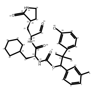 Cc1cccc(C(OC(=O)N[C@@H](CC2CCCCC2)C(=O)N[C@H](C=O)C[C@@H]2CCNC2=O)C(C)(C)c2cccc(Cl)c2)c1